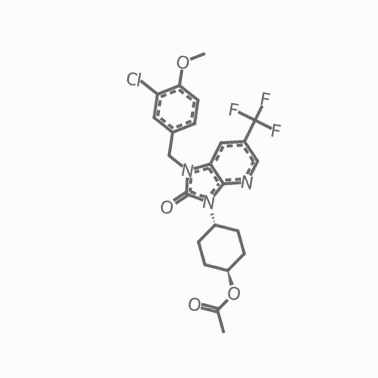 COc1ccc(Cn2c(=O)n([C@H]3CC[C@H](OC(C)=O)CC3)c3ncc(C(F)(F)F)cc32)cc1Cl